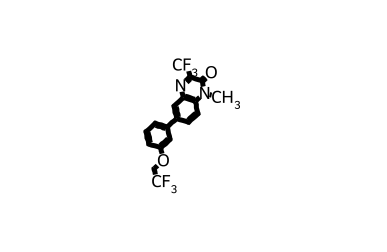 Cn1c(=O)c(C(F)(F)F)nc2cc(-c3cccc(OCC(F)(F)F)c3)ccc21